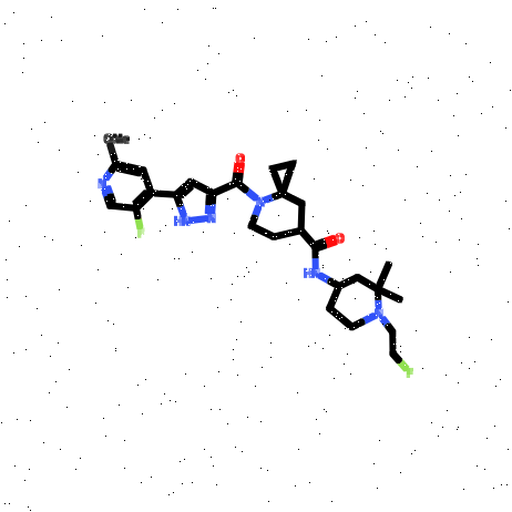 COc1cc(-c2cc(C(=O)N3CCC(C(=O)NC4CCN(CCF)C(C)(C)C4)CC34CC4)n[nH]2)c(F)cn1